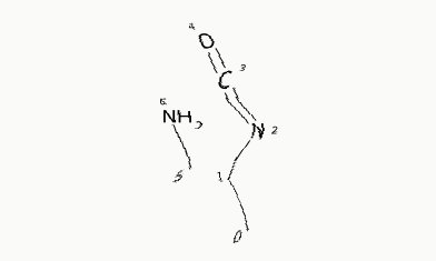 CCN=C=O.CN